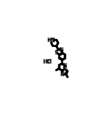 Cc1cn2nc(-c3ccc4nc(C5CCNCC5)sc4c3)cc(C)c2n1.Cl